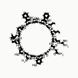 CCCC[C@H]1C(=O)N(C)[C@@H](CCCC)C(=O)N[C@@H](CCCNC(=N)N)C(=O)NC(C(=O)NCC(N)=O)CSCC(=O)N[C@@H](Cc2ccc(O)cc2)C(=O)N(C)[C@@H](C)C(=O)N[C@@H](CC(N)=O)C(=O)N2C[C@H](O)C[C@H]2C(=O)N[C@@H](Cc2cnc[nH]2)C(=O)N[C@@H](CCC(C)C)C(=O)N2CCC[C@H]2C(=O)N[C@@H](Cc2c[nH]c3ccccc23)C(=O)N[C@@H](CO)C(=O)N[C@@H](Cc2c[nH]c3ccccc23)C(=O)N1C